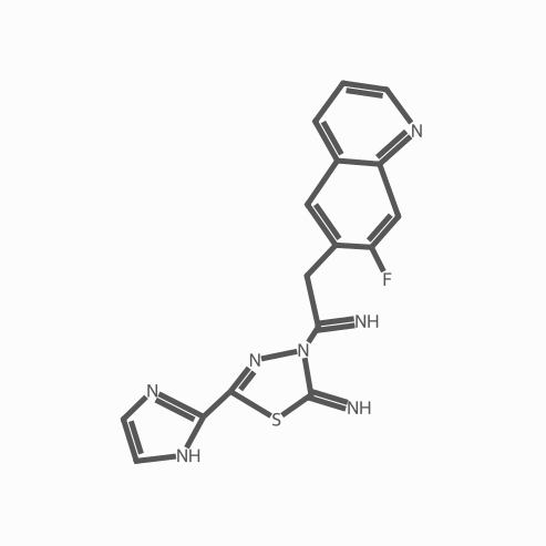 N=C(Cc1cc2cccnc2cc1F)n1nc(-c2ncc[nH]2)sc1=N